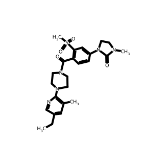 CCc1cnc(N2CCN(C(=O)c3ccc(N4CCN(C)C4=O)cc3S(C)(=O)=O)CC2)c(C)c1